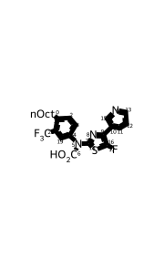 CCCCCCCCc1ccc(N(C(=O)O)c2nc(-c3cccnc3)c(F)s2)cc1C(F)(F)F